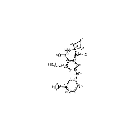 CN1c2cc(Nc3cc(N)ncn3)cc(Cl)c2C(=O)NC12CCC2.Cl